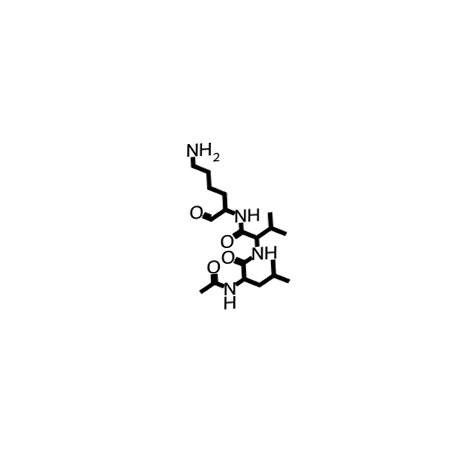 CC(=O)NC(CC(C)C)C(=O)NC(C(=O)NC(C=O)CCCCN)C(C)C